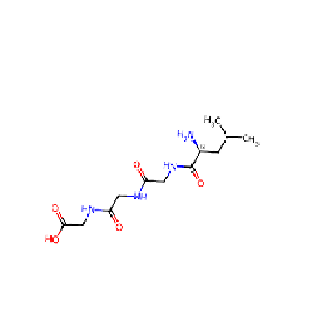 CC(C)C[C@H](N)C(=O)NCC(=O)NCC(=O)NCC(=O)O